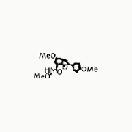 COCNC(=O)c1cc(OC)cc2cc(-c3ccc(OC)cc3)oc12